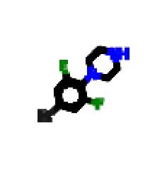 CCc1cc(F)c(N2CCNCC2)c(F)c1